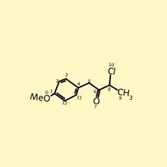 COc1ccc(CC(=O)C(C)Cl)cc1